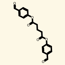 O=Cc1ccc(OC(=O)CCCC(=O)Oc2ccc(C=O)cc2)cc1